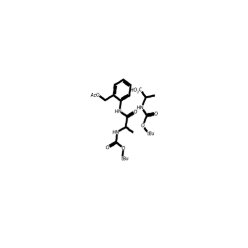 CC(=O)OCc1ccccc1NC(=O)C(C)NC(=O)OC(C)(C)C.CC(NC(=O)OC(C)(C)C)C(=O)O